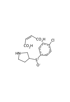 O=C(O)/C=C\C(=O)O.[O-][S+](c1ccc(Cl)cc1)C1CCNC1